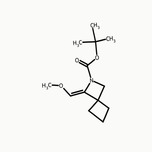 COC=C1N(C(=O)OC(C)(C)C)CC12CCC2